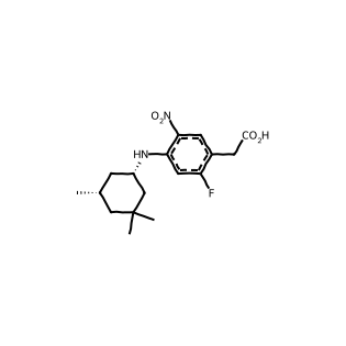 C[C@@H]1C[C@H](Nc2cc(F)c(CC(=O)O)cc2[N+](=O)[O-])CC(C)(C)C1